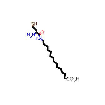 NC(CCS)C(=O)NCCCCCCCCCCCCCCC(=O)O